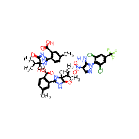 Cc1ccc(C(=O)O)c(C2=NC(C)(C(C)C)C(=O)N2)c1.Cc1ccc(C2=NC(C)(C(C)C)C(=O)N2)c(C(=O)O)c1.Nc1c([N+](=O)[O-])cnn1-c1c(Cl)cc(C(F)(F)F)cc1Cl